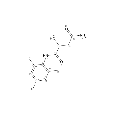 Cc1cc(C)c(NC(=O)C(O)CC(N)=O)c(C)c1